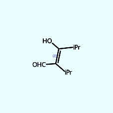 CC(C)/C(O)=C(/C=O)C(C)C